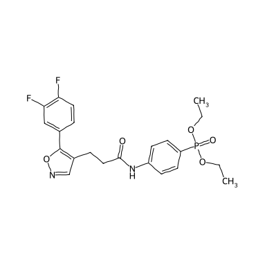 CCOP(=O)(OCC)c1ccc(NC(=O)CCc2cnoc2-c2ccc(F)c(F)c2)cc1